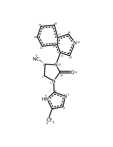 N#C[C@H]1CN(c2ncc(C(F)(F)F)[nH]2)C(=O)N1c1cncc2ccccc12